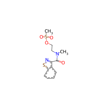 CN(CCOS(C)(=O)=O)C(=O)c1nsc2ccccc12